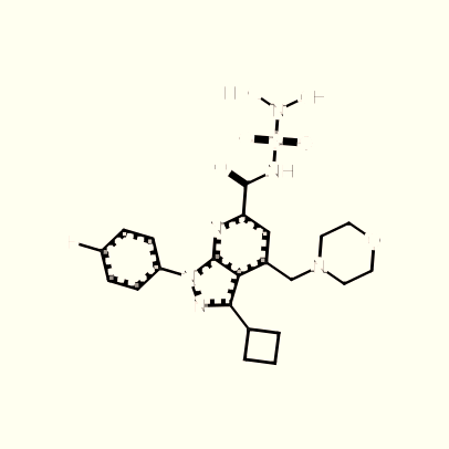 CN(C)S(=O)(=O)NC(=O)c1cc(CN2CCOCC2)c2c(C3CCC3)nn(-c3ccc(F)cc3)c2n1